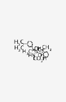 C=C(C)c1cccc(C(C)(C)C(COc2ccccc2C(=C)C)NC(=O)O)c1